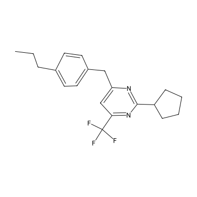 CCCc1ccc(Cc2cc(C(F)(F)F)nc(C3CCCC3)n2)cc1